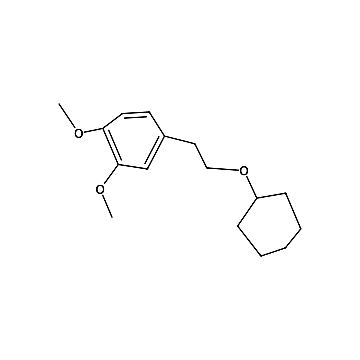 COc1ccc(CCOC2CCCCC2)cc1OC